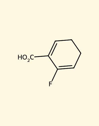 O=C(O)C1=CCCC=C1F